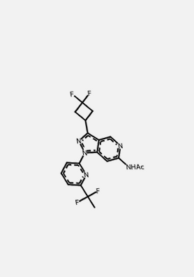 CC(=O)Nc1cc2c(cn1)c(C1CC(F)(F)C1)nn2-c1cccc(C(C)(F)F)n1